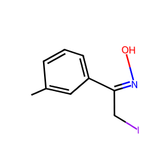 Cc1cccc(/C(CI)=N\O)c1